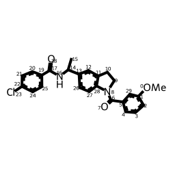 COc1cccc(C(=O)N2CCc3cc(C(C)NC(=O)c4ccc(Cl)cc4)ccc32)c1